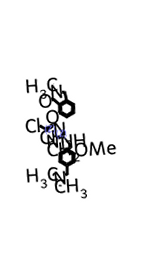 C=N/C(=N\C(Oc1cccc2c1C(=O)N(C)C2)=C(/C)Cl)Nc1ccc(CN(C)C)cc1OC